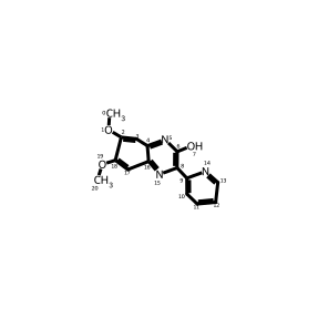 COc1cc2nc(O)c(-c3ccccn3)nc2cc1OC